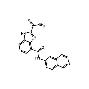 NC(=O)c1nc2c(C(=O)Nc3ccc4cnccc4c3)cccc2[nH]1